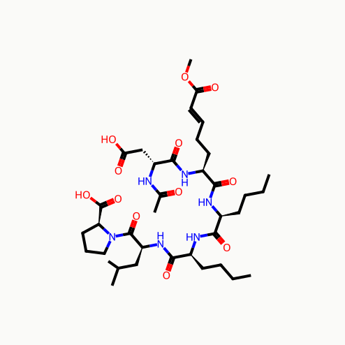 CCCC[C@H](NC(=O)[C@H](CC/C=C/C(=O)OC)NC(=O)[C@@H](CC(=O)O)NC(C)=O)C(=O)N[C@@H](CCCC)C(=O)N[C@@H](CC(C)C)C(=O)N1CCC[C@H]1C(=O)O